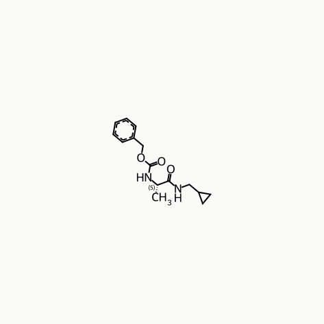 C[C@H](NC(=O)OCc1ccccc1)C(=O)NCC1CC1